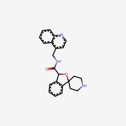 O=C(NCc1ccnc2ccccc12)C1OC2(CCNCC2)c2ccccc21